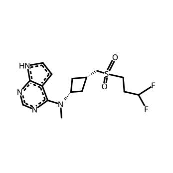 CN(c1ncnc2[nH]ccc12)[C@H]1C[C@@H](CS(=O)(=O)CCC(F)F)C1